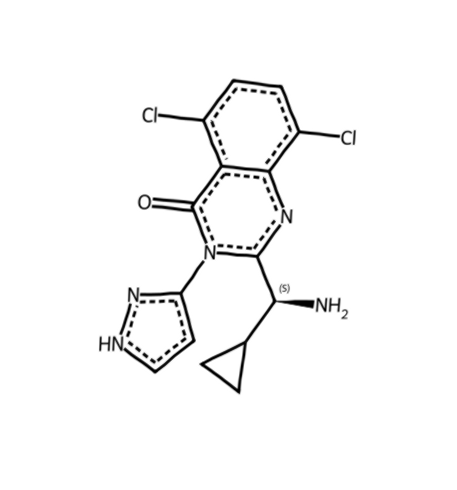 N[C@H](c1nc2c(Cl)ccc(Cl)c2c(=O)n1-c1cc[nH]n1)C1CC1